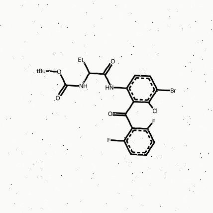 CCC(NC(=O)OC(C)(C)C)C(=O)Nc1ccc(Br)c(Cl)c1C(=O)c1c(F)cccc1F